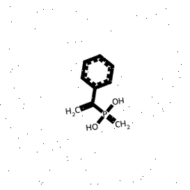 C=C(c1ccccc1)P(=C)(O)O